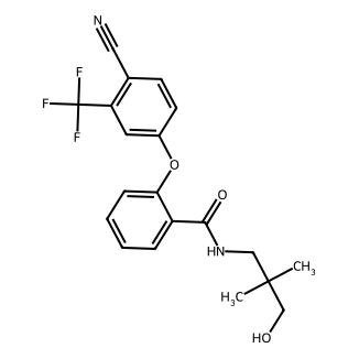 CC(C)(CO)CNC(=O)c1ccccc1Oc1ccc(C#N)c(C(F)(F)F)c1